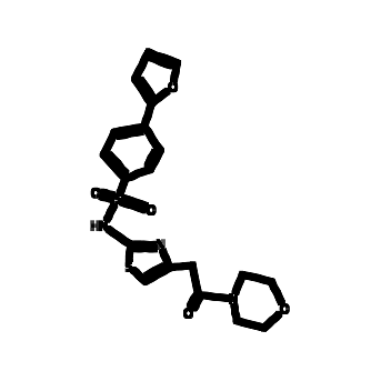 O=C(Cc1csc(NS(=O)(=O)c2ccc(-c3ccco3)cc2)n1)N1CCOCC1